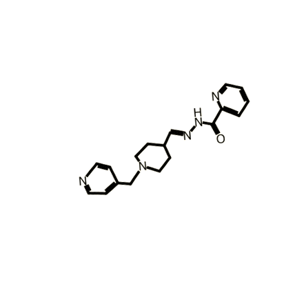 O=C(NN=CC1CCN(Cc2ccncc2)CC1)c1ccccn1